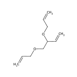 C=CCOCC(C=C)OCC=C